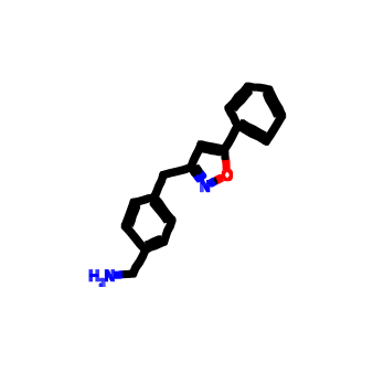 NCc1ccc(Cc2cc(-c3ccccc3)on2)cc1